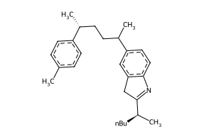 CCCC[C@H](C)C1=Nc2ccc(C(C)CC[C@@H](C)c3ccc(C)cc3)cc2C1